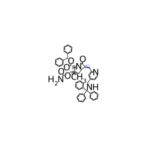 C[C@@]1(COC(N)=O)CC2/C(=C\c3cc(CNC(c4ccccc4)(c4ccccc4)c4ccccc4)ccn3)C(=O)N2[C@H]1C(=O)OC(c1ccccc1)c1ccccc1